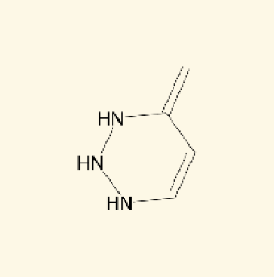 C=C1C=CNNN1